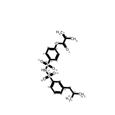 C=C(C)C(=O)Oc1ccc(S(=O)(=O)NS(=O)(=O)c2cccc(CC(C)C)c2)cc1